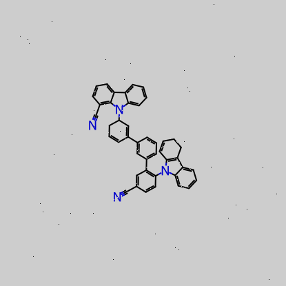 N#Cc1ccc(-n2c3c(c4ccccc42)CCC=C3)c(-c2cccc(C3=CC(n4c5ccccc5c5cccc(C#N)c54)CC=C3)c2)c1